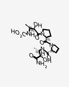 C[C@H](NC(=O)[C@H]1CCCN1C(=O)[C@@H]1CCCN1C(=O)[C@H](O)[C@H](C)NC(=O)O)[C@@H](O)C(N)=O